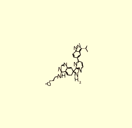 COCCCNc1ncnc2c1=CCC(N)(c1nccc(-c3ccc4nn(C)c(C(C)C)c4c3)n1)C=2